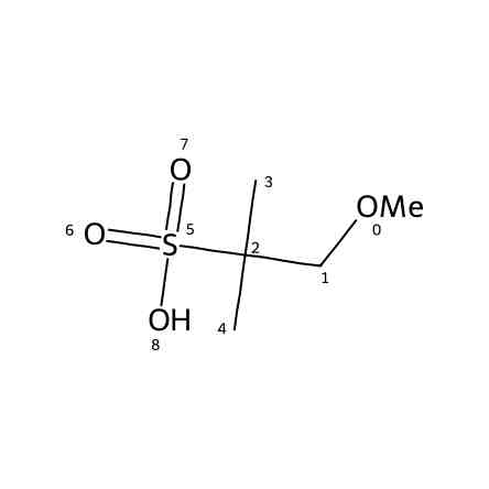 COCC(C)(C)S(=O)(=O)O